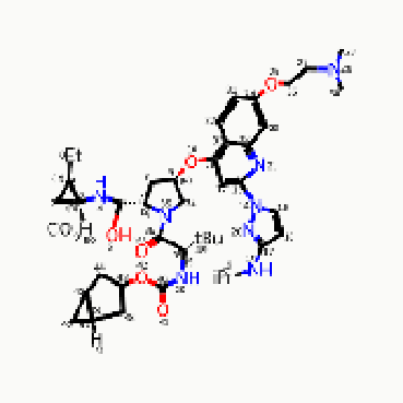 CC[C@@H]1C[C@]1(NC(O)[C@@H]1C[C@@H](Oc2cc(-n3ccc(NC(C)C)n3)nc3cc(OCCN(C)C)ccc23)CN1C(=O)[C@@H](NC(=O)OC1CC2C[C@H]2C1)C(C)(C)C)C(=O)O